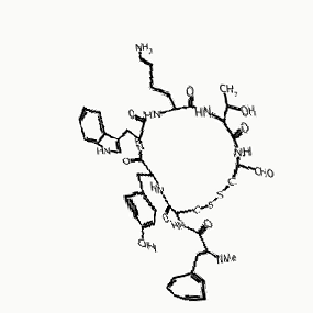 CNC(Cc1ccccc1)C(=O)NC1CSSCC(C=O)NC(=O)C(C(C)O)NC(=O)C(CCCCN)NC(=O)C(Cc2c[nH]c3ccccc23)NC(=O)C(Cc2ccc(O)cc2)NC1=O